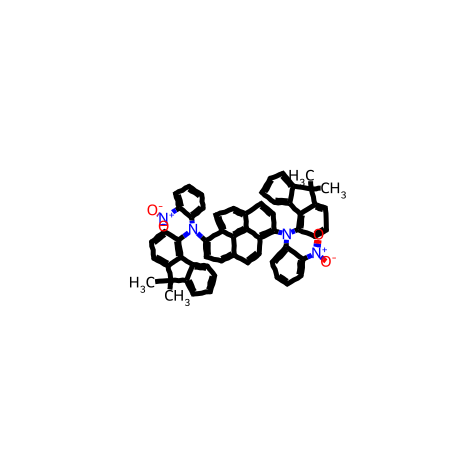 CC1(C)c2ccccc2-c2c(N(c3ccccc3[N+](=O)[O-])c3ccc4ccc5c(N(c6ccccc6[N+](=O)[O-])c6cccc7c6-c6ccccc6C7(C)C)ccc6ccc3c4c65)cccc21